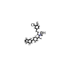 CC(/C(CCCc1ccc(F)c(Cl)c1)=N/O)C1CCC(c2ccc3sccc3c2)CC1